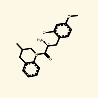 COc1ccc(C[C@H](N)C(=O)N2CC(C)Cc3ccccc32)c(Cl)c1